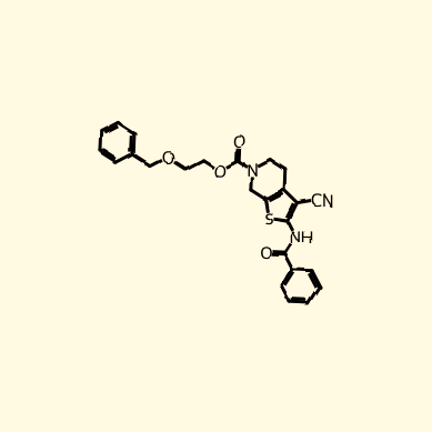 N#Cc1c(NC(=O)c2ccccc2)sc2c1CCN(C(=O)OCCOCc1ccccc1)C2